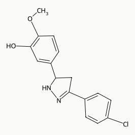 COc1ccc(C2CC(c3ccc(Cl)cc3)=NN2)cc1O